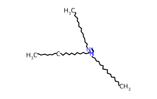 CCCCCCCCCCCCCCCCCCCc1n(CCCCCCCCCCCCCCCC)cc[n+]1CCCCCCCCCCCCCCC